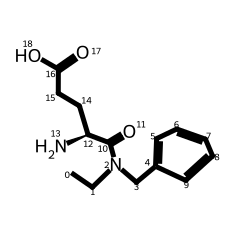 CCN(Cc1ccccc1)C(=O)[C@@H](N)CCC(=O)O